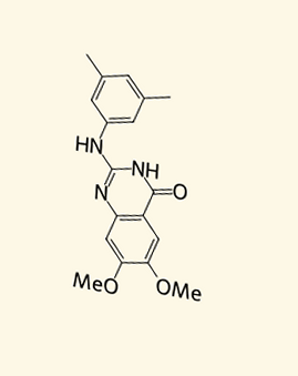 COc1cc2nc(Nc3cc(C)cc(C)c3)[nH]c(=O)c2cc1OC